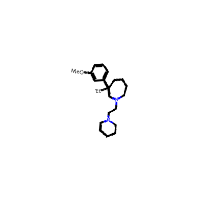 CCC1(c2cccc(OC)c2)CCCCN(CCN2CCCCC2)C1